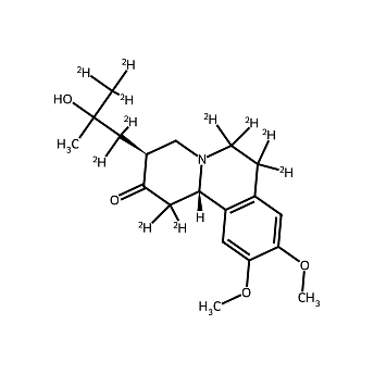 [2H]C1([2H])C(=O)[C@@H](C([2H])([2H])C(C)(O)C([2H])([2H])[2H])CN2[C@@H]1c1cc(OC)c(OC)cc1C([2H])([2H])C2([2H])[2H]